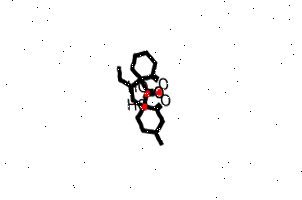 CCC(CC1(C(=O)O)CCC(C)CC1=O)C1(C(=O)O)CCCCC1=O